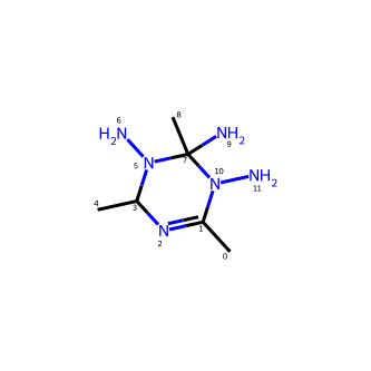 CC1=NC(C)N(N)C(C)(N)N1N